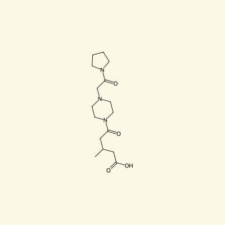 CC(CC(=O)O)CC(=O)N1CCN(CC(=O)N2CCCC2)CC1